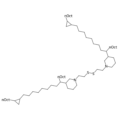 CCCCCCCCC(CCCCCCCCC1CC1CCCCCCCC)C1CCCN(CCSSCCN2CCCC(C(CCCCCCCC)CCCCCCCCC3CC3CCCCCCCC)C2)C1